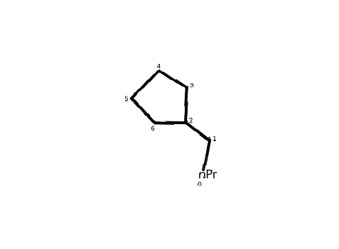 CCC[CH]C1CCCC1